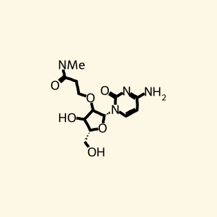 CNC(=O)CCOC1C(O)[C@@H](CO)O[C@H]1n1ccc(N)nc1=O